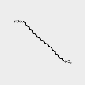 CCCCCCCCCCCCCCCCCCCCCCCCCCCCCCCC[N+](=O)[O-]